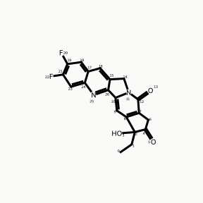 CCC1(O)C(=O)Cc2c1cc1n(c2=O)Cc2cc3cc(F)c(F)cc3nc2-1